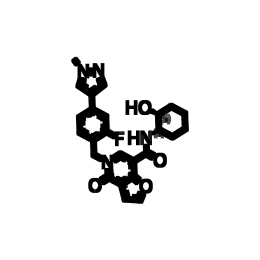 Cn1cc(-c2ccc(Cn3cc(C(=O)N[C@H]4CCCC[C@@H]4O)c4occc4c3=O)c(F)c2)cn1